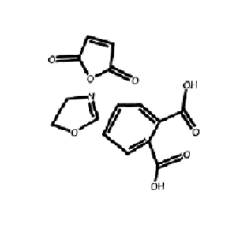 C1=NCCO1.O=C(O)c1ccccc1C(=O)O.O=C1C=CC(=O)O1